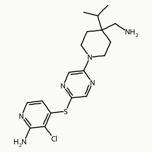 CC(C)C1(CN)CCN(c2cnc(Sc3ccnc(N)c3Cl)cn2)CC1